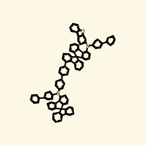 c1ccc(-c2ccc(N(c3ccc(-c4ccc(-c5cccc6c5-c5ccccc5C65c6ccccc6-c6c(N(c7ccc(-c8ccccc8)cc7)c7ccc8c(c7)oc7ccccc78)cccc65)cc4)cc3)c3cccc4c3-c3ccccc3C43c4ccccc4-c4ccccc43)cc2)cc1